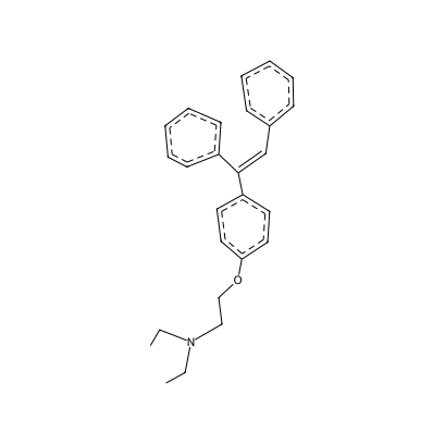 CCN(CC)CCOc1ccc(C(=Cc2ccccc2)c2ccccc2)cc1